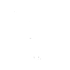 NC(=O)c1ccc2c(c1)C=NC2